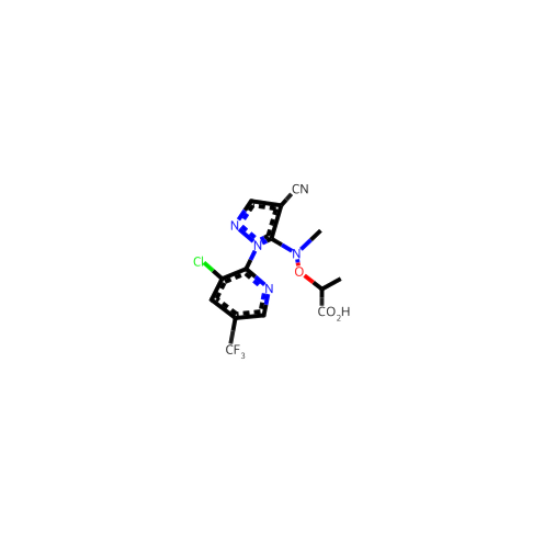 CC(ON(C)c1c(C#N)cnn1-c1ncc(C(F)(F)F)cc1Cl)C(=O)O